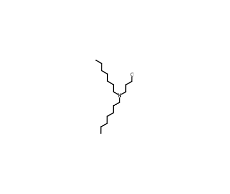 CCCCCCCN(CCCCl)CCCCCCC